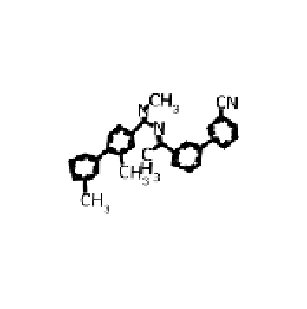 C/N=C(\N=C(/C)c1cccc(-c2cccc(C#N)c2)c1)c1ccc(-c2cccc(C)c2)c(C)c1